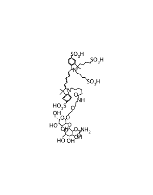 CC1(C)/C(=C/C=C/C=C/C2=[N+](CCCCS(=O)(=O)O)C(C)(CCCCS(=O)(=O)O)c3cc(S(=O)(=O)O)ccc32)N(CCCCCC(=O)NCCOCCOC2O[C@@H](CO)[C@@H](O)[C@H](O)[C@@H]2O[C@H]2O[C@H](CO)[C@@H](O)[C@H](O)[C@@H]2OC(N)=O)c2ccc(S(=O)(=O)O)cc21